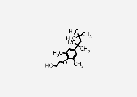 Cc1cc(C(C)(C)CC(C)(C)C)cc(C)c1OCCO